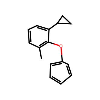 Cc1cccc(C2CC2)c1Oc1ccccc1